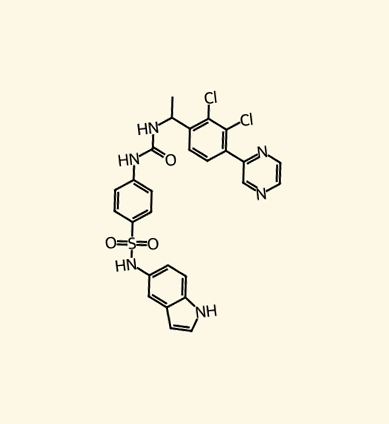 CC(NC(=O)Nc1ccc(S(=O)(=O)Nc2ccc3[nH]ccc3c2)cc1)c1ccc(-c2cnccn2)c(Cl)c1Cl